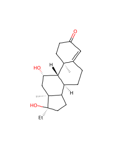 CC[C@@]1(O)CCC2[C@@H]3CCC4=CC(=O)CC[C@]4(C)[C@H]3[C@@H](O)C[C@@]21C